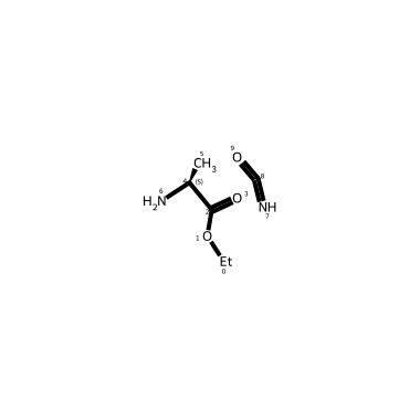 CCOC(=O)[C@H](C)N.N=C=O